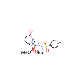 COC(=O)C1CC2C(=O)CCC1N2C(=NNS(=O)(=O)c1ccc(C)cc1)OC(C)(C)C